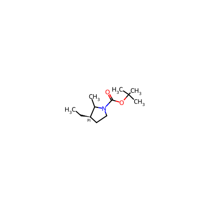 CC[C@@H]1CCN(C(=O)OC(C)(C)C)C1C